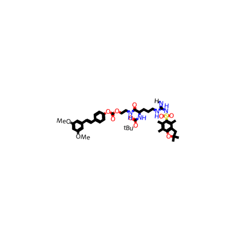 [H]/N=C(\NCCCC(NC(=O)OC(C)(C)C)C(=O)NCCOC(=O)Oc1ccc(C=Cc2cc(OC)cc(OC)c2)cc1)NS(=O)(=O)c1c(C)c(C)c2c(c1C)CC(C)(C)O2